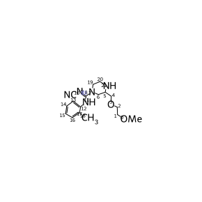 COCCOCC1CN(/C(=N/C#N)Nc2ccccc2C)CCN1